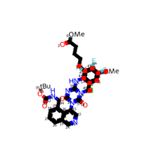 COC(=O)CCCCc1cc(OC)cc(Cl)c1Nc1nc(=O)n(-c2cncc3cccc(CNC(=O)OC(C)(C)C)c23)c(=O)n1Cc1cc(F)c(F)c(F)c1